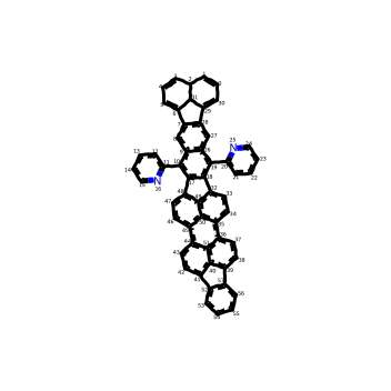 C1=CC2C=CC=C3c4cc5c(-c6ccccn6)c6c(c(-c7ccccn7)c5cc4C(=C1)C32)-c1ccc2c3ccc4c5c(ccc(c7ccc-6c1c27)c53)-c1ccccc1-4